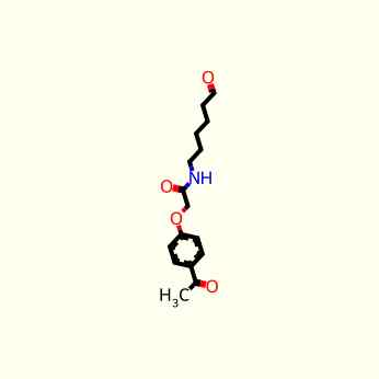 CC(=O)c1ccc(OCC(=O)NCCCCCC=O)cc1